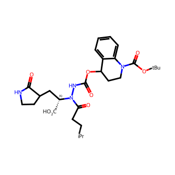 CC(C)CCC(=O)N(NC(=O)OC1CCN(C(=O)OC(C)(C)C)c2ccccc21)[C@@H](CC1CCNC1=O)C(=O)O